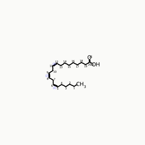 CCCCC/C=C\C/C=C\C/C=C\CCCCCCCC(=O)O